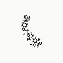 COC(=O)c1ccc(C2CCN(C3CC(OC4CCN(C(=O)OC(C)(C)C)CC4)C3)CC2(F)F)cc1Br